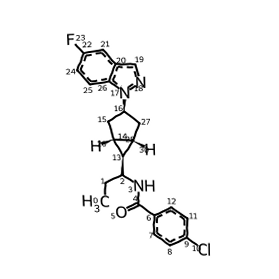 CCC(NC(=O)c1ccc(Cl)cc1)[C@H]1[C@@H]2C[C@@H](n3ncc4cc(F)ccc43)C[C@@H]21